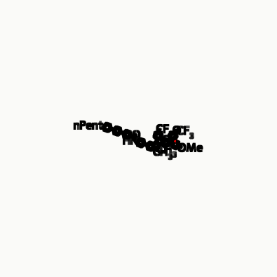 CCCCCC1CCC(c2ccc(-c3ccc(C(=O)Nc4ccc(-c5ccc6c(c5)-c5c(c7c(c8cc(C(F)(F)F)ccc58)OC(c5ccc(OC)cc5)(c5ccc(OC(F)(F)F)cc5)C=C7)C6(C)C)cc4)cc3)cc2)CC1